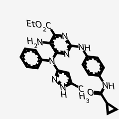 CCOC(=O)c1nc(Nc2ccc(NC(=O)C3CC3)cc2)nc(N(c2ccccc2)c2cc(C)[nH]n2)c1N